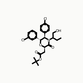 CCC(CO)N1C(=O)[C@@H](CC(=O)OC(C)(C)C)O[C@H](c2cccc(Cl)c2)[C@H]1c1ccc(Cl)cc1